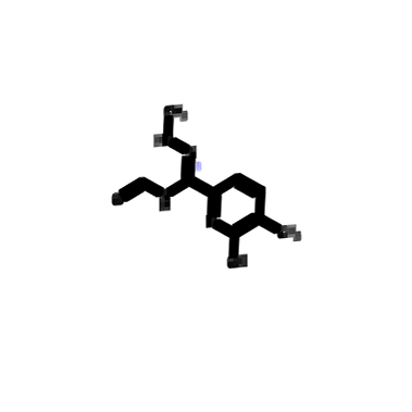 CN/N=C(\NC=O)c1ccc(C)c(O)n1